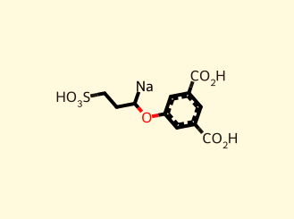 O=C(O)c1cc(O[CH]([Na])CCS(=O)(=O)O)cc(C(=O)O)c1